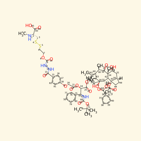 CN[C@@H](CSSCCOC(=O)NNC(=O)c1ccc(OCC(=O)O[C@@H](C(=O)O[C@H]2C[C@@]3(O)[C@@H](OC(=O)c4ccccc4)[C@@H]4[C@]5(OC(C)=O)CC[C@@H]5C[C@H](O)[C@@]4(C)C(=O)[C@H](C)C(=C2C)C3(C)C)[C@@H](NC(=O)OC(C)(C)C)c2ccccc2)cc1)C(=O)O